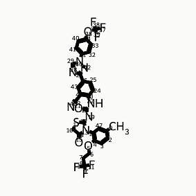 Cc1ccc(OCCC(F)(F)F)c(N2C(=O)CSC2=NC(=O)Nc2ccc(-c3ncn(-c4ccc(OC(F)(F)F)cc4)n3)cc2C#N)c1